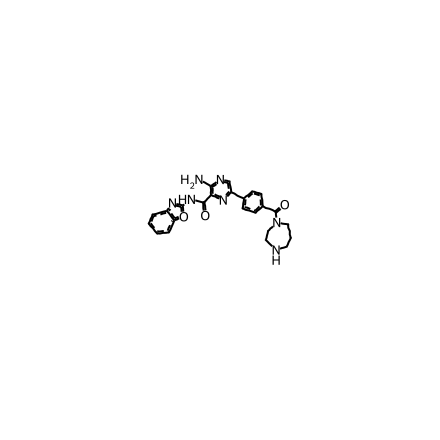 Nc1ncc(-c2ccc(C(=O)N3CCCNCC3)cc2)nc1C(=O)Nc1nc2ccccc2o1